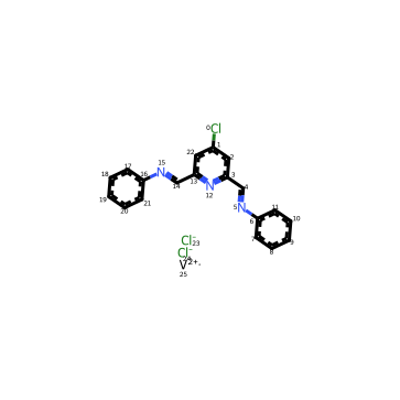 Clc1cc(C=Nc2ccccc2)nc(C=Nc2ccccc2)c1.[Cl-].[Cl-].[V+2]